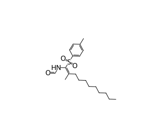 CCCCCCCCCC(C)=C(NC=O)S(=O)(=O)c1ccc(C)cc1